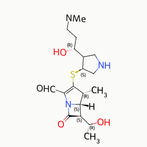 CNCC[C@@H](O)C1CNC[C@H]1SC1=C(C=O)N2C(=O)[C@H]([C@@H](C)O)[C@H]2[C@H]1C